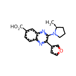 C[C@H]1CCCN1c1nc2cc(C(=O)O)ccc2nc1-c1ccoc1